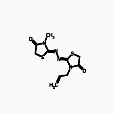 C=CCN1C(=O)CSC1=NN=C1SCC(=O)N1C